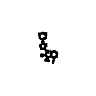 O=C(Nc1ccn(-c2cncnc2)n1)C1(c2ccccc2F)CC1